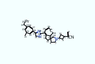 C=C(C#N)C1CC(N2CCC3(CCC4=C(C5=NCC(C6=CC(C)C=C(CC(C)C)C=C6)=N5)C=CCCC43)C2)C1